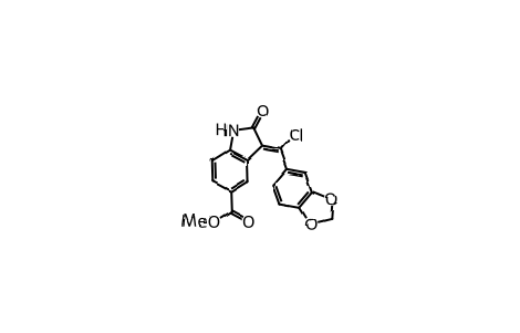 COC(=O)c1ccc2c(c1)/C(=C(/Cl)c1ccc3c(c1)OCO3)C(=O)N2